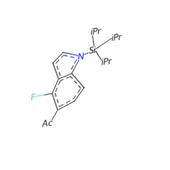 CC(=O)c1ccc2c(ccn2[Si](C(C)C)(C(C)C)C(C)C)c1F